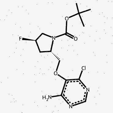 CC(C)(C)OC(=O)N1C[C@H](F)C[C@H]1COc1c(N)ncnc1Cl